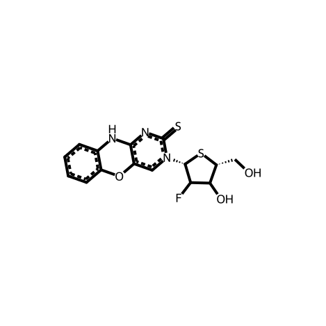 OC[C@H]1S[C@@H](n2cc3c(nc2=S)Nc2ccccc2O3)C(F)C1O